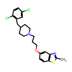 Cc1nc2cc(OCCCN3CCC(Cc4cc(Cl)ccc4Cl)CC3)ccc2s1